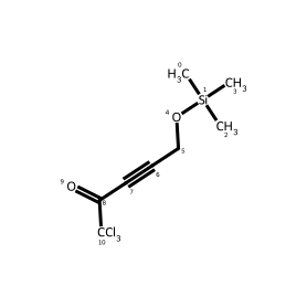 C[Si](C)(C)OCC#CC(=O)C(Cl)(Cl)Cl